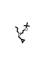 CCCN(CCOC(C)(C)C)CC1CC1